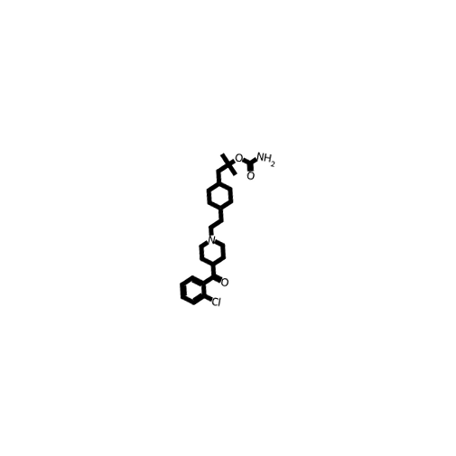 CC(C)(CC1CCC(CCN2CCC(C(=O)c3ccccc3Cl)CC2)CC1)OC(N)=O